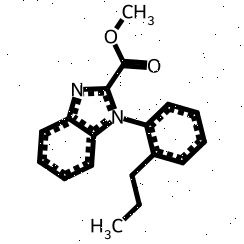 CCCc1ccccc1-n1c(C(=O)OC)nc2ccccc21